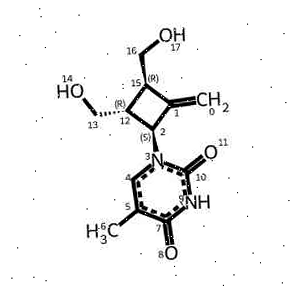 C=C1[C@@H](n2cc(C)c(=O)[nH]c2=O)[C@H](CO)[C@H]1CO